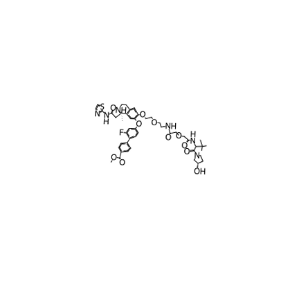 COC(=O)c1ccc(-c2ccc(Oc3cc4c(cc3OCCOCCNC(=O)COCC(=O)NC(C(=O)N3CC[C@@H](O)C3)C(C)(C)C)CCN[C@]4(C)CC(=O)Nc3nccs3)cc2F)cc1